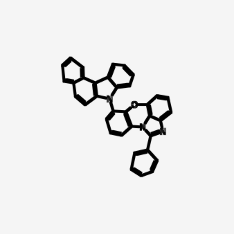 c1ccc(-c2nc3cccc4c3n2-c2cccc(-n3c5ccccc5c5c6ccccc6ccc53)c2O4)cc1